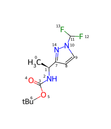 C[C@H](NC(=O)OC(C)(C)C)c1ccn(C(F)F)n1